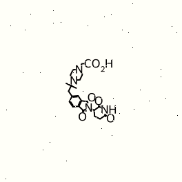 CC(C)(Cc1ccc2c(c1)C(=O)N(C1CCC(=O)NC1=O)C2=O)N1CCN(CC(=O)O)CC1